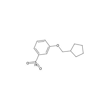 O=[SH](=O)c1cccc(OCC2CCCC2)c1